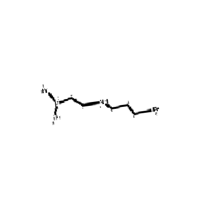 CC(C)CCCNCCP(C(C)C)C(C)C